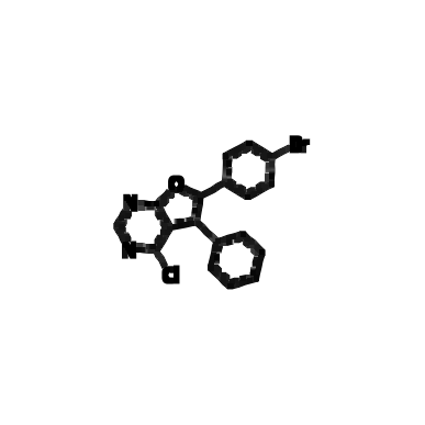 Clc1ncnc2oc(-c3ccc(Br)cc3)c(-c3ccccc3)c12